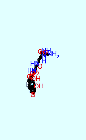 C[C@@H]1C[C@H]2[C@@H]3CCC4=CC(=O)C=C[C@]4(C)[C@@]3(F)[C@@H](O)C[C@]2(C)[C@@]1(O)C(=O)COC(=O)NCCC(=O)NCCCC[C@H](NC(=O)CN)C(N)=O